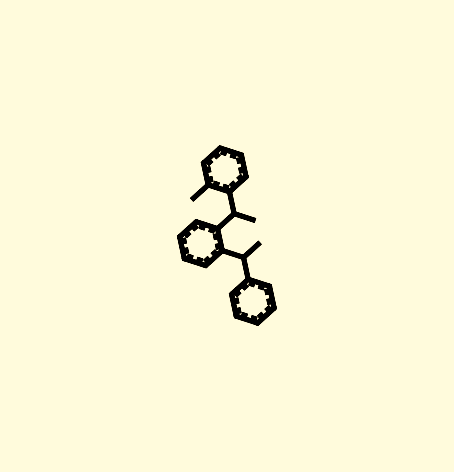 Cc1ccccc1C(C)c1ccccc1C(C)c1ccccc1